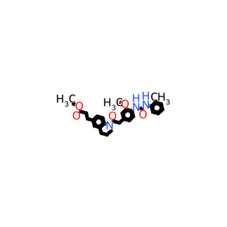 CCOC(=O)CCc1ccc2c(c1)CCCN2C(=O)Cc1ccc(NC(=O)Nc2ccccc2C)c(OC)c1